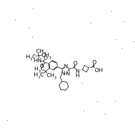 CC(C)(C)NS(=O)(=O)c1ccc(-c2nc(C(=O)N[C@H]3C[C@H](C(=O)O)C3)nn2CC2CCCCC2)cc1C(C)(C)C